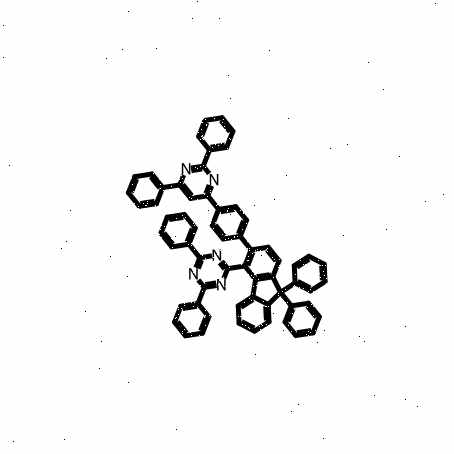 c1ccc(-c2cc(-c3ccc(-c4ccc5c(c4-c4nc(-c6ccccc6)nc(-c6ccccc6)n4)-c4ccccc4C5(c4ccccc4)c4ccccc4)cc3)nc(-c3ccccc3)n2)cc1